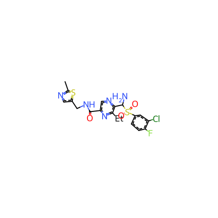 CCc1nc(C(=O)NCc2cnc(C)s2)cnc1C(N)S(=O)(=O)c1ccc(F)c(Cl)c1